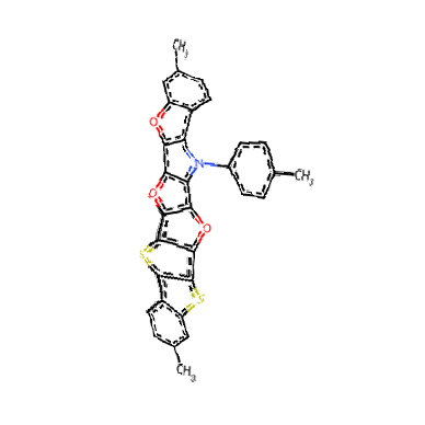 Cc1ccc(-n2c3c4ccc(C)cc4oc3c3oc4c(oc5c4sc4c6ccc(C)cc6sc54)c32)cc1